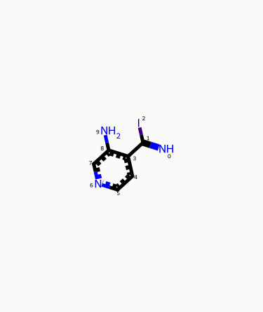 N=C(I)c1ccncc1N